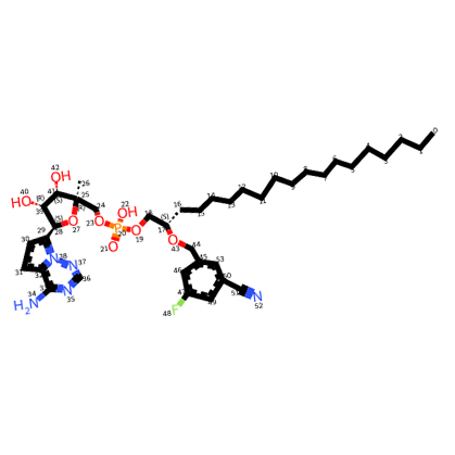 CCCCCCCCCCCCCCCCC[C@@H](COP(=O)(O)OC[C@@]1(C)O[C@@H](c2ccc3c(N)ncnn23)[C@H](O)[C@@H]1O)OCc1cc(F)cc(C#N)c1